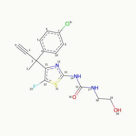 C#CC(C)(c1ccc(Cl)cc1)c1nc(NC(=O)NCCO)sc1F